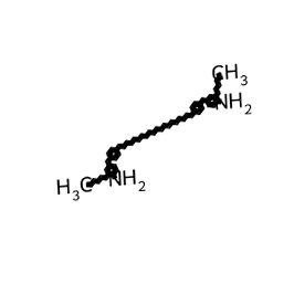 CCCCCCc1cc(Cc2ccc(CCCCCCCCCCCCCCCCCCCCc3ccc(Cc4ccc(N)c(CCCCCC)c4)cc3)cc2)ccc1N